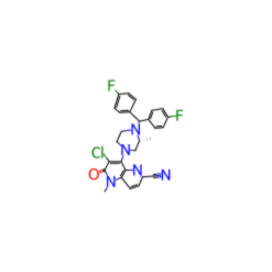 C[C@@H]1CN(c2c(Cl)c(=O)n(C)c3ccc(C#N)nc23)CCN1C(c1ccc(F)cc1)c1ccc(F)cc1